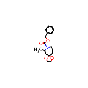 CC1CC2(CCCN1C(=O)OCc1ccccc1)OCCO2